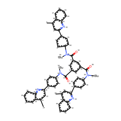 Cc1cc(-c2ccc(N(C(=O)c3cc(C(=O)N(c4ccc(-c5cc(C)c6ccccc6n5)cc4)C(C)(C)C)cc(C(=O)N(c4ccc(-c5cc(C)c6ccccc6n5)cc4)C(C)(C)C)c3)C(C)(C)C)cc2)nc2ccccc12